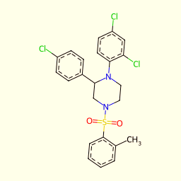 Cc1ccccc1S(=O)(=O)N1CCN(c2ccc(Cl)cc2Cl)C(c2ccc(Cl)cc2)C1